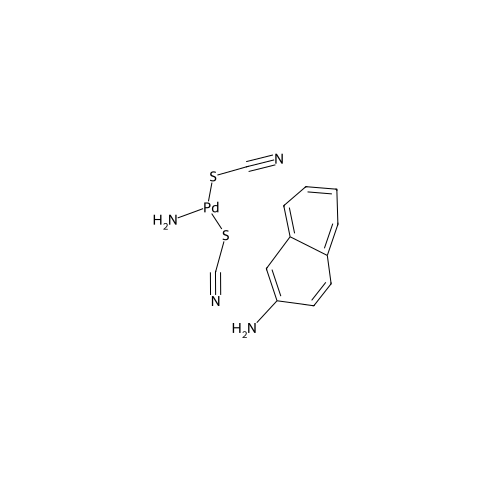 N#C[S][Pd]([NH2])[S]C#N.Nc1ccc2ccccc2c1